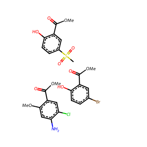 COC(=O)c1cc(Br)ccc1O.COC(=O)c1cc(Cl)c(N)cc1OC.COC(=O)c1cc(S(C)(=O)=O)ccc1O